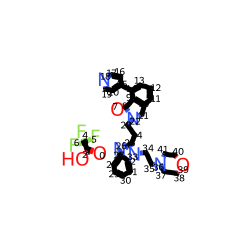 O=C(O)C(F)(F)F.O=C1c2c(cccc2-c2ccncc2)CN1CCc1nc2ccccc2n1CCN1CCOCC1